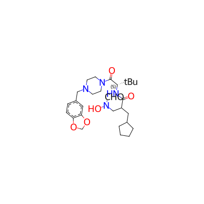 CC(C)(C)[C@H](NC(=O)C(CC1CCCC1)CN(O)C=O)C(=O)N1CCN(Cc2ccc3c(c2)OCO3)CC1